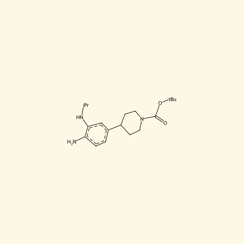 CC(C)Nc1cc(C2CCN(C(=O)OC(C)(C)C)CC2)ccc1N